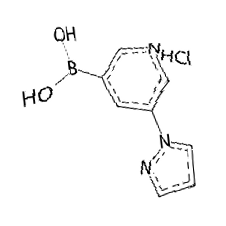 Cl.OB(O)c1cncc(-n2cccn2)c1